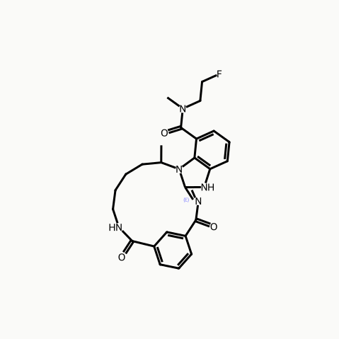 CC1CCCCNC(=O)c2cccc(c2)C(=O)/N=C2\Nc3cccc(C(=O)N(C)CCF)c3N21